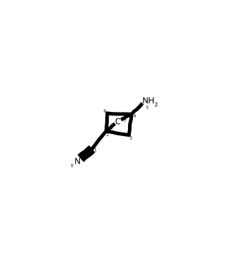 N#CC12CC(N)(C1)C2